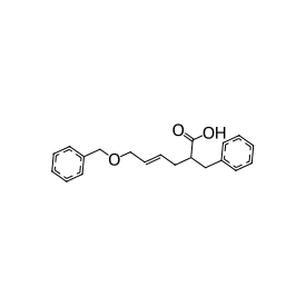 O=C(O)C(CC=CCOCc1ccccc1)Cc1ccccc1